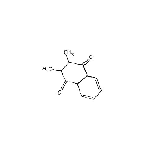 CC1C(=O)C2C=CC=CC2C(=O)C1C